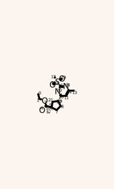 CCOC(=O)[C@]1(C)CC[C@@H](c2cc(C)nc(S(C)(=O)=O)n2)C1